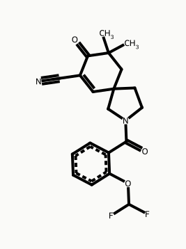 CC1(C)CC2(C=C(C#N)C1=O)CCN(C(=O)c1ccccc1OC(F)F)C2